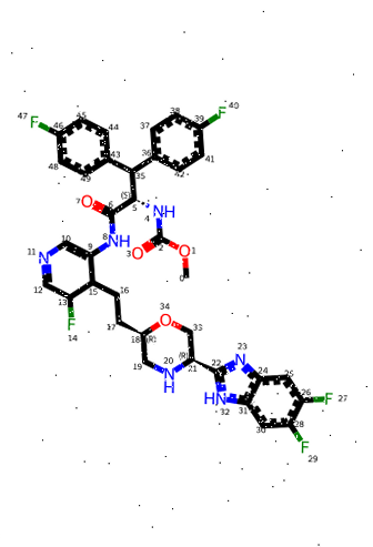 COC(=O)N[C@H](C(=O)NC1=CN=CC(F)C1CC[C@@H]1CN[C@H](c2nc3cc(F)c(F)cc3[nH]2)CO1)C(c1ccc(F)cc1)c1ccc(F)cc1